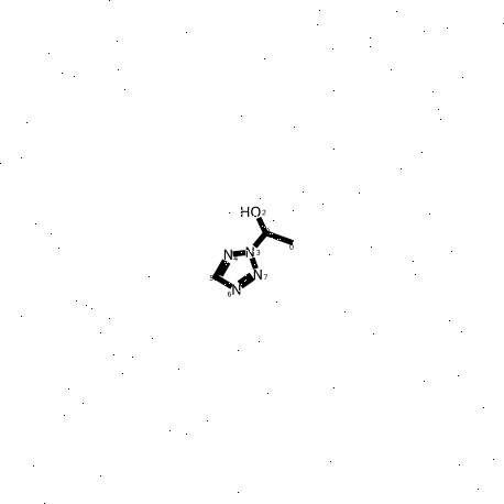 CC(O)n1n[c]nn1